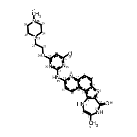 CC1=CNc2c(sc3ccc4nc(Nc5nc(Cl)cc(OCCN6CCN(C)CC6)n5)ccc4c23)C(=O)N1